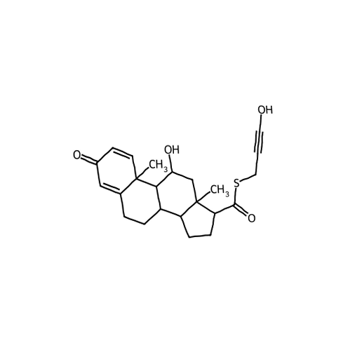 CC12C=CC(=O)C=C1CCC1C2C(O)CC2(C)C(C(=O)SCC#CO)CCC12